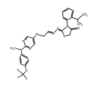 CC(C)c1ccccc1N1C(=O)CS/C1=N\N=C\COc1cnc(N(C)c2ccc(OC(F)(F)F)cc2)nc1